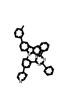 Cc1cccc(-c2ccc3c(c2)c2ccccc2n3-c2ccc(-c3ccncc3)cc2-c2nc(-c3ccccc3)nc(-c3ccccc3)n2)c1